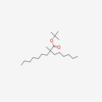 CCCCCCCC(C)(CCCCCC)C(=O)OC(C)(C)C